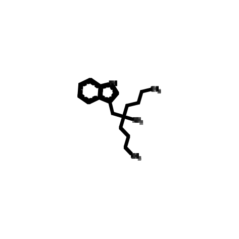 CCCCC(N)(CCCC)Cc1c[nH]c2ccccc12